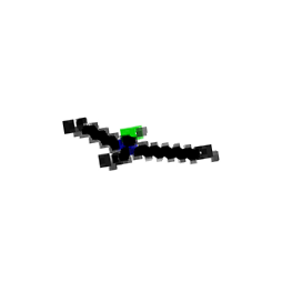 CCCCCCCCCCCCN1C=CN(CCCCCCCC)C1CC.Cl